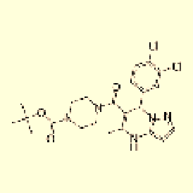 CC1=C(C(=O)N2CCN(C(=O)OC(C)(C)C)CC2)C(c2ccc(Cl)c(Cl)c2)n2nccc2N1